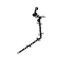 CC(C)(C)c1cc(NC(=O)Nc2ccc(OCCN3CCOCC3)c3ccccc23)n(-c2cccc(CNC(=O)OCCOCCOCCNC(=O)OC/C=C\COC(=O)NCCOCCOCCOC(=O)NCCOCCOCCCCCCCl)c2)n1